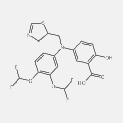 O=C(O)c1cc(N(CC2CN=CS2)c2ccc(OC(F)F)c(OC(F)F)c2)ccc1O